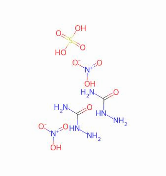 NNC(N)=O.NNC(N)=O.O=S(=O)(O)O.O=[N+]([O-])O.O=[N+]([O-])O